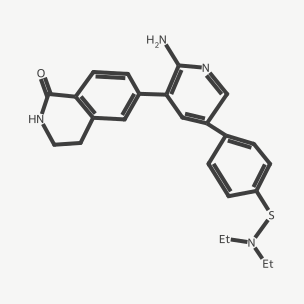 CCN(CC)Sc1ccc(-c2cnc(N)c(-c3ccc4c(c3)CCNC4=O)c2)cc1